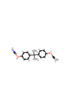 C#COc1ccc(C(C)(C)c2ccc(OC#N)cc2)cc1